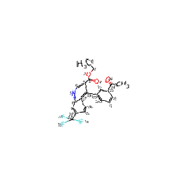 CCOC(=O)c1cnc2cc(C(F)(F)F)ccc2c1-c1cccc(C(C)=O)c1